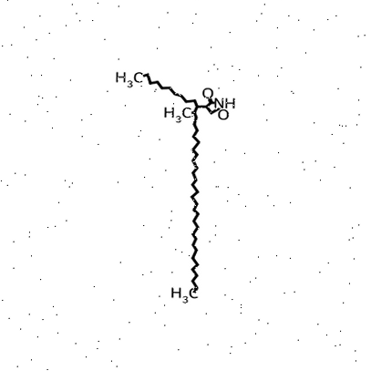 CCCCCCCCCCCCCCCCCCCCCCCCCCCCCCC(C)C(CCCCCCCCCC)C1CC(=O)NC1=O